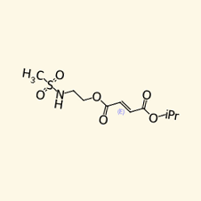 CC(C)OC(=O)/C=C/C(=O)OCCNS(C)(=O)=O